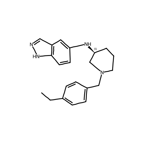 CCc1ccc(CN2CCC[C@H](Nc3ccc4[nH]ncc4c3)C2)cc1